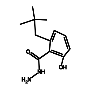 CC(C)(C)Cc1cccc(O)c1C(=O)NN